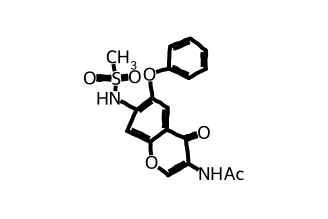 CC(=O)Nc1coc2cc(NS(C)(=O)=O)c(Oc3ccccc3)cc2c1=O